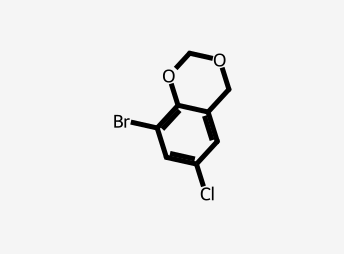 Clc1cc(Br)c2c(c1)COCO2